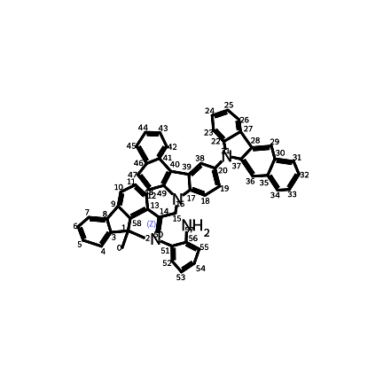 CC1(C)c2ccccc2-c2cccc(/C(Cn3c4ccc(-n5c6ccccc6c6cc7ccccc7cc65)cc4c4c5ccccc5ccc43)=N/c3ccccc3N)c21